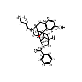 NCCCN1CCC23c4cc(O)ccc4CC1C21CCC2C3[C@@H](CN2C(=O)c2ccccc2)C1